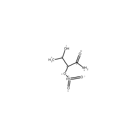 CC(O)C(O[SH](=O)=O)C(N)=O